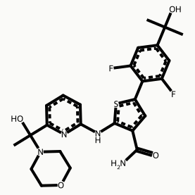 CC(C)(O)c1cc(F)c(-c2cc(C(N)=O)c(Nc3cccc(C(C)(O)N4CCOCC4)n3)s2)c(F)c1